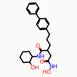 O=C(CC(CCCc1ccc(-c2ccccc2)cc1)C(=O)NC1CCCCC1O)NO